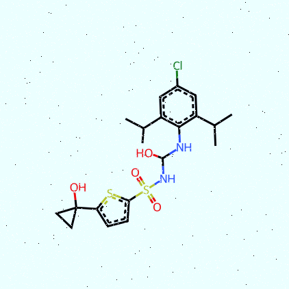 CC(C)c1cc(Cl)cc(C(C)C)c1NC(O)NS(=O)(=O)c1ccc(C2(O)CC2)s1